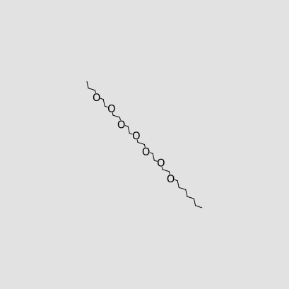 CCCCCCCOCCOCCOCCOCCOCCOCCOCCC